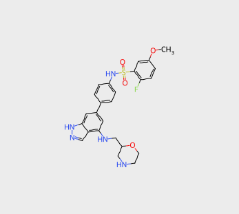 COc1ccc(F)c(S(=O)(=O)Nc2ccc(-c3cc(NCC4CNCCO4)c4cn[nH]c4c3)cc2)c1